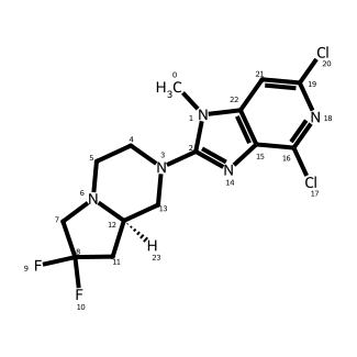 Cn1c(N2CCN3CC(F)(F)C[C@@H]3C2)nc2c(Cl)nc(Cl)cc21